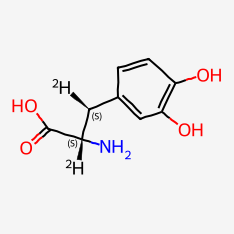 [2H][C@@H](c1ccc(O)c(O)c1)[C@]([2H])(N)C(=O)O